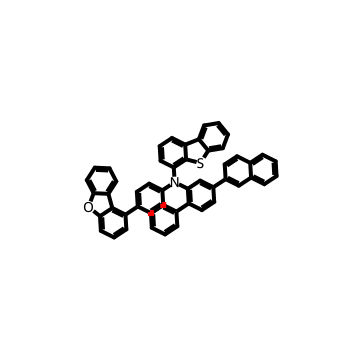 c1ccc(-c2ccc(-c3ccc4ccccc4c3)cc2N(c2ccc(-c3cccc4oc5ccccc5c34)cc2)c2cccc3c2sc2ccccc23)cc1